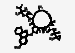 CC[C@@H]1C[C@@H](C)CC/C=C\[C@@H]2C[C@@]2(C(=O)NS(=O)(=O)C2(C)CC2)NC(=O)[C@@H]2C[C@@H](Oc3nc4c(c5cc(OC)ccc35)CCCO4)CN2C(=O)[C@H]1NC(=O)OC(C)(C)C(F)F